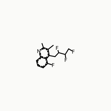 Cc1nc2cccc(F)c2c(CC(F)C(F)CF)c1C